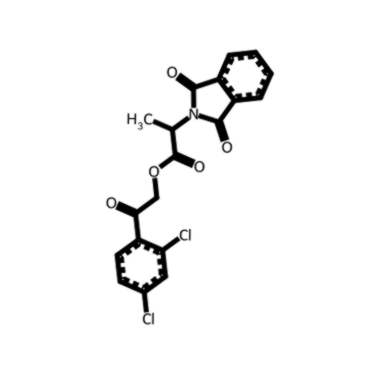 CC(C(=O)OCC(=O)c1ccc(Cl)cc1Cl)N1C(=O)c2ccccc2C1=O